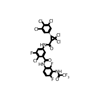 O=C(Nc1ccc(F)c(NC(=O)C(F)(F)F)c1F)c1cc(NC(=O)C2[C@H](c3cc(Cl)c(Cl)c(Cl)c3)C2(Cl)Cl)cc(F)c1Cl